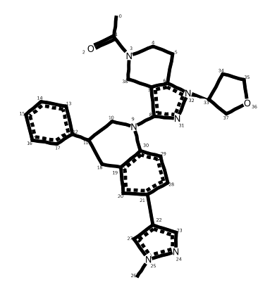 CC(=O)N1CCc2c(c(N3CC(c4ccccc4)Cc4cc(-c5cnn(C)c5)ccc43)nn2[C@H]2CCOC2)C1